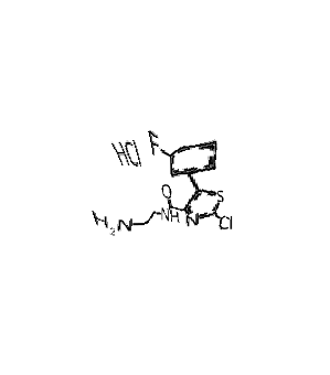 Cl.NCCNC(=O)c1nc(Cl)sc1-c1cccc(F)c1